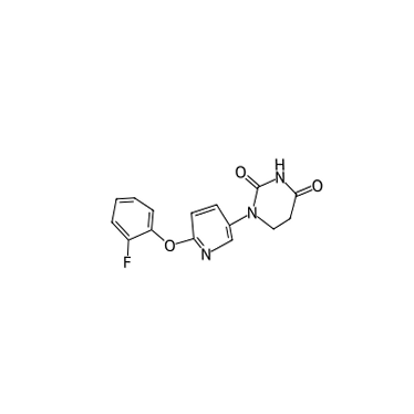 O=C1CCN(c2ccc(Oc3ccccc3F)nc2)C(=O)N1